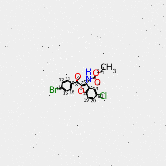 CCOC(=O)Nc1c(C(=O)c2ccc(Br)cc2)oc2ccc(Cl)cc12